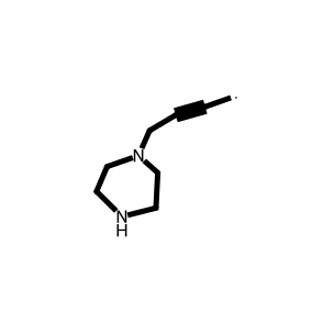 [CH2]C#CCN1CCNCC1